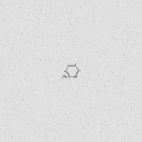 [Tb].c1ccncc1